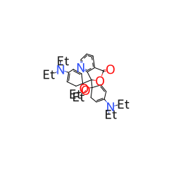 CCOC1(C2(C3(OCC)C=CC(N(CC)CC)=CC3)OC(=O)c3cccnc32)C=CC(N(CC)CC)=CC1